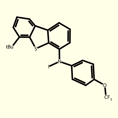 CC(C)(C)c1cccc2c1sc1c(N(I)c3ccc(OC(F)(F)F)cc3)cccc12